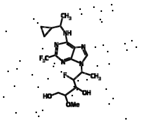 COC(CO)C(O)C(F)C(C)n1cnc2c(NC(C)C3CC3)nc(C(F)(F)F)nc21